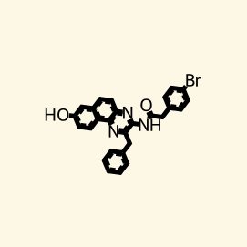 O=C(Cc1ccc(Br)cc1)Nc1nc2ccc3cc(O)ccc3c2nc1Cc1ccccc1